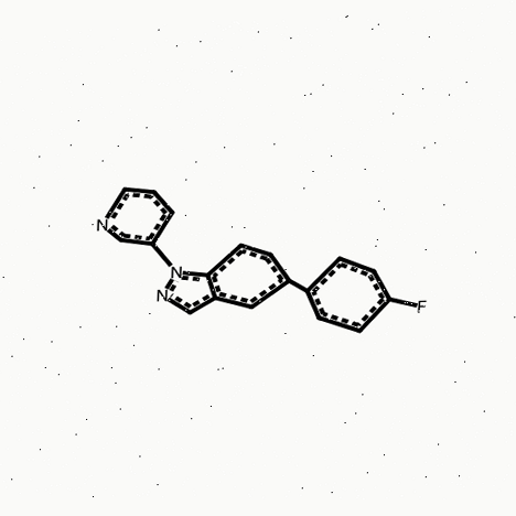 Fc1ccc(-c2ccc3c(cnn3-c3cccnc3)c2)cc1